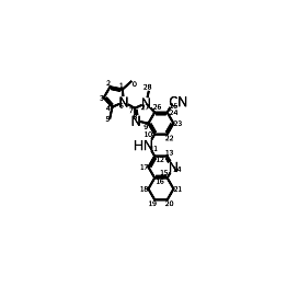 Cc1ccc(C)n1-c1nc2c(Nc3cnc4c(c3)CCCC4)ccc(C#N)c2n1C